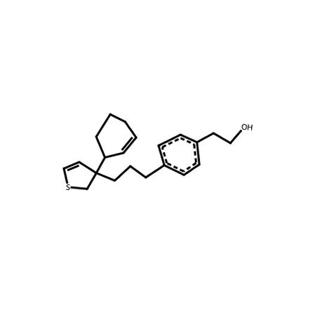 OCCc1ccc(CCCC2(C3C=CCCC3)C=CSC2)cc1